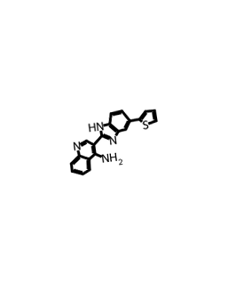 Nc1c(-c2nc3cc(-c4cccs4)ccc3[nH]2)cnc2ccccc12